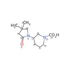 CC1(C)CC(=O)N(C2CCCN(C(=O)O)C2)C1